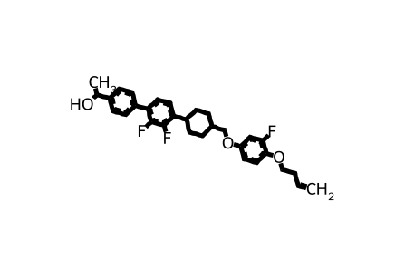 C=CCCOc1ccc(OCC2CCC(c3ccc(-c4ccc(C(C)O)cc4)c(F)c3F)CC2)cc1F